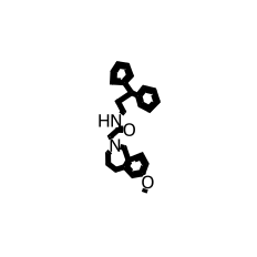 COc1ccc2c(c1)CCCN(CC(=O)NCCC(c1ccccc1)c1ccccc1)C2